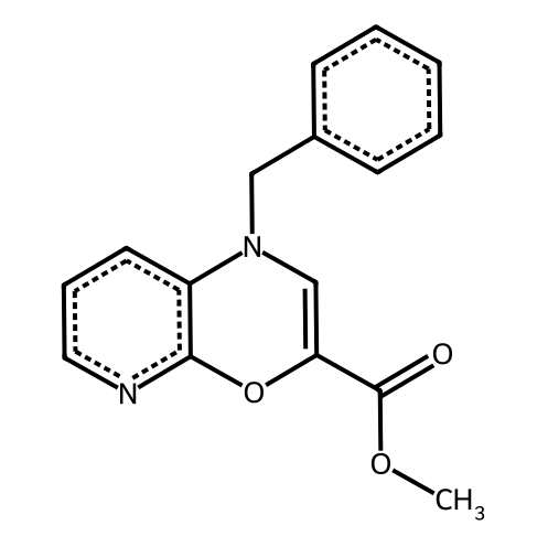 COC(=O)C1=CN(Cc2ccccc2)c2cccnc2O1